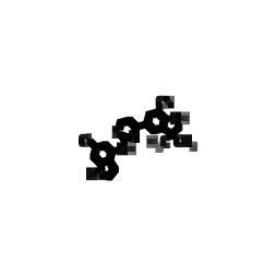 CC1(C)CNc2c(C#N)cc(-c3ccnc(Nc4cc(Cl)cc5[nH]ccc45)n3)cc21